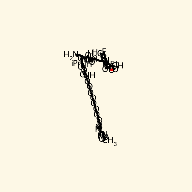 CC[C@@]1(O)C(=O)OCc2c1cc1n(c2=O)Cc2c-1nc1cc(F)c(C)cc1c2CCCNC(=O)CNC(=O)[C@H](CCCCN)NC(=O)[C@@H](NC(=O)COCC(=O)NCCOCCOCCOCCOCCOCCOCCOCCOCCn1cc(-c2cnc(S(C)(=O)=O)nc2)nn1)C(C)C